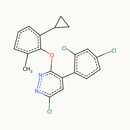 Cc1cccc(C2CC2)c1Oc1nnc(Cl)cc1-c1ccc(Cl)cc1Cl